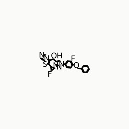 OC(c1cn(-c2ccc(OCc3ccccc3)c(F)c2)nn1)c1c(C2CC2F)sc2cncn12